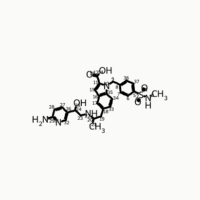 CNS(=O)(=O)c1ccc(Cn2c(C(=O)O)cc3cc(CC(C)NCC(O)c4ccc(N)nc4)ccc32)cc1